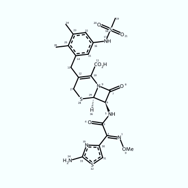 CON=C(C(=O)N[C@@H]1C(=O)N2C(C(=O)O)=C(Cc3cc(NS(C)(=O)=O)cc(C)c3C)CS[C@H]12)c1csc(N)n1